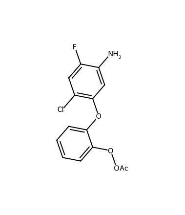 CC(=O)OOc1ccccc1Oc1cc(N)c(F)cc1Cl